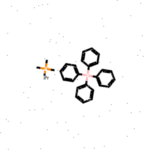 CC(C)[P+](C)(C)C.c1ccc([B-](c2ccccc2)(c2ccccc2)c2ccccc2)cc1